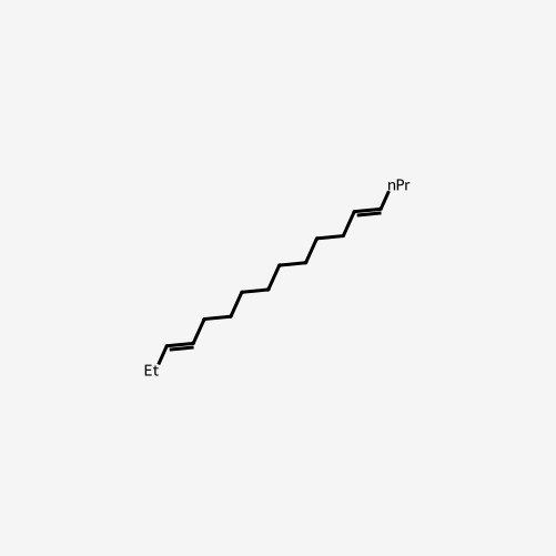 [CH2]CC=CCCCCCCCCC=CCCC